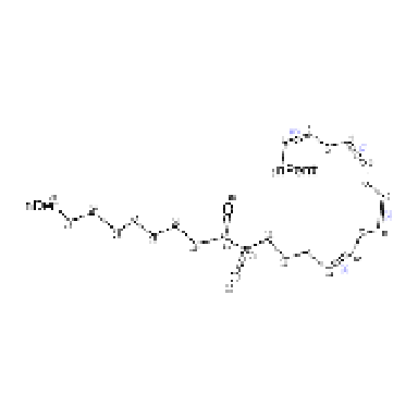 CCCCC/C=C\C/C=C\C/C=C\C/C=C\CCCC(=O)C(=O)CCCCCCCCCCCCCCCCC